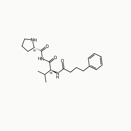 CC(C)[C@H](NC(=O)CCCc1ccccc1)C(=O)NC(=O)[C@@H]1CCCN1